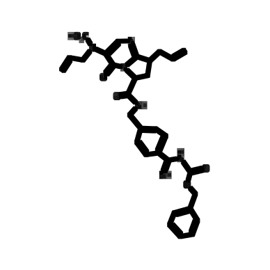 C=CCC1CC(C(=O)NCc2ccc(C(=N)NC(=O)OCc3ccccc3)cc2)n2c1ncc(N(CC=C)C(=O)O)c2=O